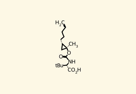 C=CCCC[C@H]1C[C@]1(C)OC(=O)N[C@H](C(=O)O)C(C)(C)C